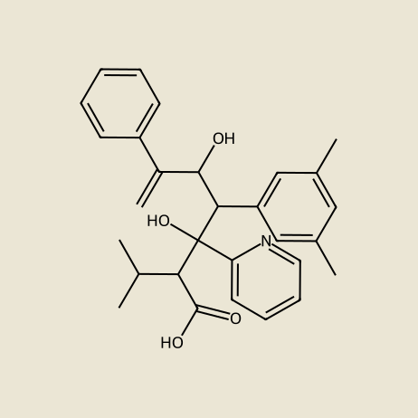 C=C(c1ccccc1)C(O)C(c1cc(C)cc(C)c1)C(O)(c1ccccn1)C(C(=O)O)C(C)C